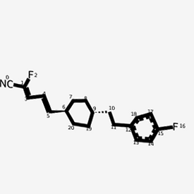 N#C/C(F)=C/C=C/[C@H]1CC[C@H](CCc2ccc(F)cc2)CC1